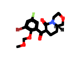 COCOc1c(Br)cc(F)cc1C(=O)C1CC[C@@H]2COCCN2C1=O